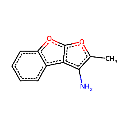 Cc1oc2oc3ccccc3c2c1N